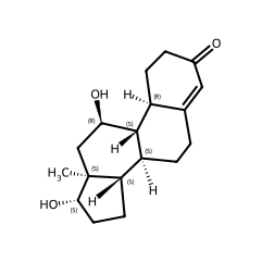 C[C@]12C[C@@H](O)[C@H]3[C@@H](CCC4=CC(=O)CC[C@@H]43)[C@@H]1CC[C@@H]2O